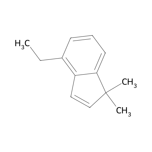 CCc1cccc2c1C=CC2(C)C